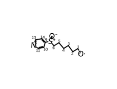 [O]CCCCCC[S+]([O-])c1ccncc1